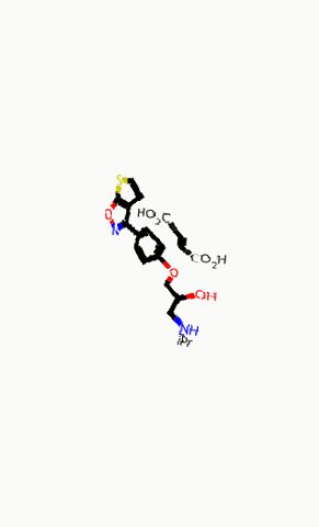 CC(C)NCC(O)COc1ccc(-c2noc3sccc23)cc1.O=C(O)C=CC(=O)O